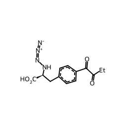 CCC(=O)C(=O)c1ccc(C[C@H](NN=[N+]=[N-])C(=O)O)cc1